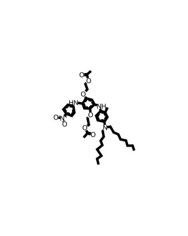 CCCCCCCCN(CCCCCCCC)c1ccc(Nc2cc(OCCOC(C)=O)c(Nc3ccc([N+](=O)[O-])cc3)cc2OCCOC(C)=O)c(C)c1